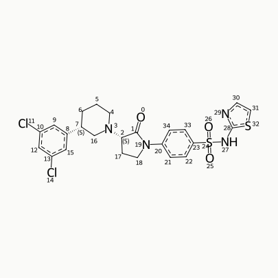 O=C1[C@@H](N2CCC[C@@H](c3cc(Cl)cc(Cl)c3)C2)CCN1c1ccc(S(=O)(=O)Nc2nccs2)cc1